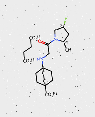 CCOC(=O)C12CCC(NCC(=O)N3C[C@@H](F)C[C@H]3C#N)(CC1)CC2.O=C(O)CCC(=O)O